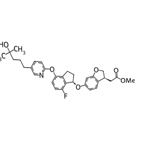 COC(=O)C[C@@H]1COc2cc(O[C@@H]3CCc4c(Oc5ccc(CCCC(C)(C)O)cn5)ccc(F)c43)ccc21